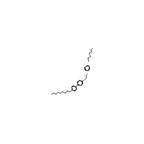 CCCCCCCCCc1ccc(-c2ccc(C(F)(F)CCOc3ccc(OCCCCCCC)c(F)c3F)c(F)c2)cc1F